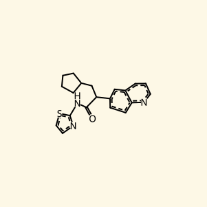 O=C(Nc1nccs1)C(CC1CCCC1)c1ccc2ncccc2c1